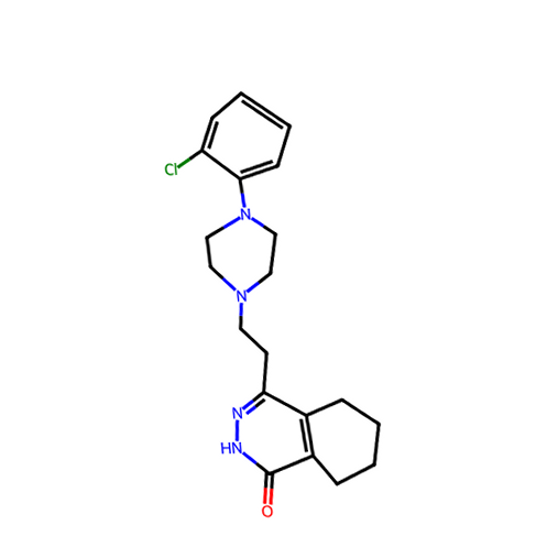 O=c1[nH]nc(CCN2CCN(c3ccccc3Cl)CC2)c2c1CCCC2